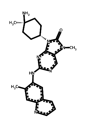 Cc1cc2ncccc2cc1Nc1ncc2c(n1)n([C@H]1CC[C@](C)(N)CC1)c(=O)n2C